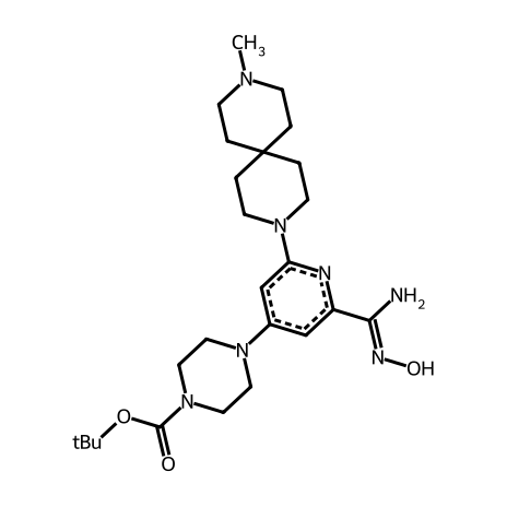 CN1CCC2(CC1)CCN(c1cc(N3CCN(C(=O)OC(C)(C)C)CC3)cc(/C(N)=N/O)n1)CC2